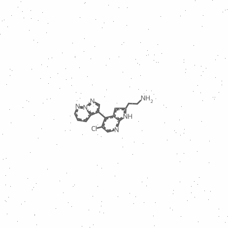 NCCc1cc2c(-c3cnn4ncccc34)c(Cl)cnc2[nH]1